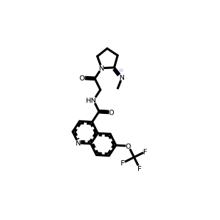 C/N=C1/CCCN1C(=O)CNC(=O)c1ccnc2ccc(OC(F)(F)F)cc12